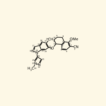 COc1c(C#N)ccc2c1CCCC2Oc1cc2c(cnn2-c2cnn(C)c2)cc1C